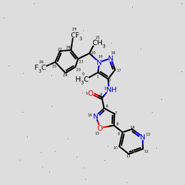 Cc1c(NC(=O)c2cc(-c3cccnc3)on2)cnn1C(C)c1ccc(C(F)(F)F)cc1C(F)(F)F